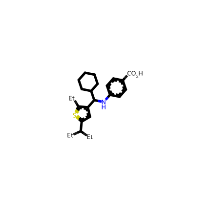 CCc1sc(C(CC)CC)cc1C(Nc1ccc(C(=O)O)cc1)C1CCCCC1